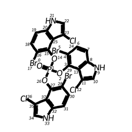 O=P(Oc1c(Br)ccc2[nH]cc(Cl)c12)(Oc1c(Br)ccc2[nH]cc(Cl)c12)Oc1c(Br)ccc2[nH]cc(Cl)c12